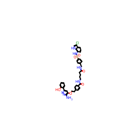 Nc1nnc(-c2ccccc2O)cc1OCCc1ccc(C(=O)NCCCCC(=O)NCc2ccc(S(=O)(=O)Nc3cccc4c(Cl)c[nH]c34)cc2)cc1